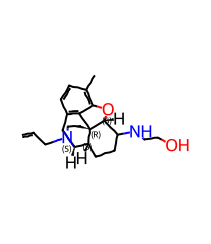 C=CCN1CC[C@@]23c4c5ccc(C)c4O[C@@H]2C(NCCO)CC[C@@H]3[C@@H]1C5